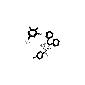 Cc1cc(C)c(C)c(C)c1.Cc1ccc(S(=O)(=O)N[C@@H](c2ccccc2)[C@@H](N)c2ccccc2)cc1.[Ru]